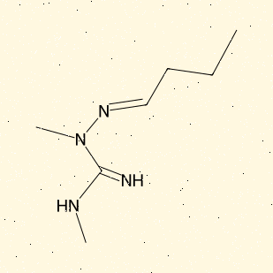 CCCC=NN(C)C(=N)NC